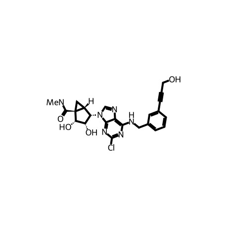 CNC(=O)[C@@]12C[C@@H]1[C@H](n1cnc3c(NCc4cccc(C#CCO)c4)nc(Cl)nc31)[C@H](O)[C@@H]2O